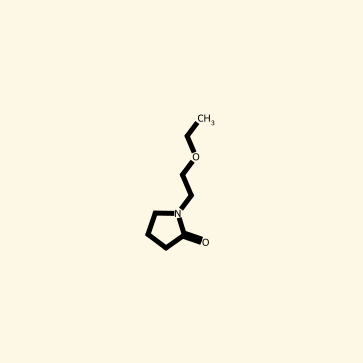 CCOCCN1CCCC1=O